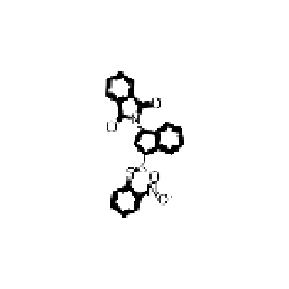 O=C1c2ccccc2C(=O)N1[C@H]1C[C@H](SSc2ccccc2[N+](=O)[O-])c2ccccc21